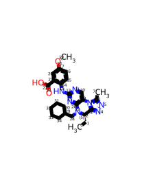 CC[C@H]1c2nnc(C)n2-c2cnc(Nc3ccc(OC)cc3C(=O)O)nc2N1CC1CCCCC1